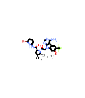 COc1cc2c(cc1C(F)(F)F)c1c(N)ncnc1n2CC(=O)N1[C@H](C)[C@@H](C)C[C@H]1C(=O)Nc1cccc(Br)n1